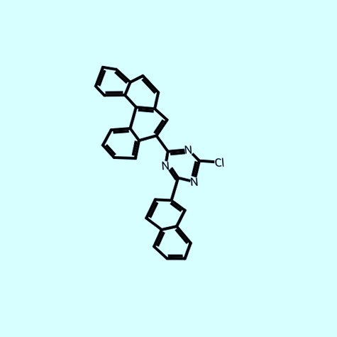 Clc1nc(-c2ccc3ccccc3c2)nc(-c2cc3ccc4ccccc4c3c3ccccc23)n1